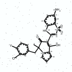 CC1(Cc2ccc(F)c(Cl)c2)C(=O)C(C2=NS(=O)(=O)c3cc(N)ccc3N2)=C(O)c2cccn21